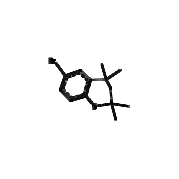 CC1(C)CC(C)(C)c2cc(Br)ccc2S1